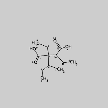 CCC(C)C(CC)(C(=O)O)C(CC)C(=O)O